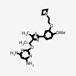 COc1ccc(-c2nc([C@@H](C)Oc3nc(N)cc(N)n3)c(C)s2)cc1OCCN1CCC1